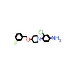 Nc1ccc(N2CCC(OCc3cccc(F)c3)CC2)c(Cl)c1